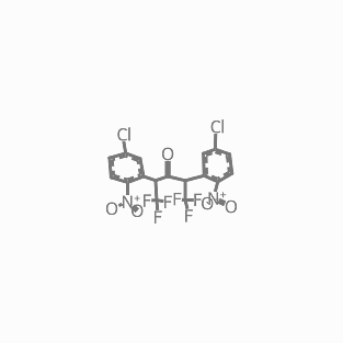 O=C(C(c1cc(Cl)ccc1[N+](=O)[O-])C(F)(F)F)C(c1cc(Cl)ccc1[N+](=O)[O-])C(F)(F)F